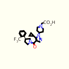 O=C(O)CN1CCC(n2ncc(C(=O)N3CC[C@@H](c4ccccc4C(F)(F)F)C3)c2C2CC2)CC1